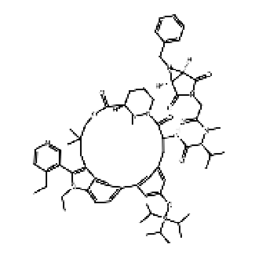 CCc1ccncc1-c1c2c3cc(ccc3n1CC)-c1cc(cc(O[Si](C(C)C)(C(C)C)C(C)C)c1)C[C@H](NC(=O)[C@H](C(C)C)N(C)C(=O)CN1C(=O)[C@@H]3[C@H](C1=O)N3Cc1ccccc1)C(=O)N1CCC[C@H](N1)C(=O)OCC(C)(C)C2